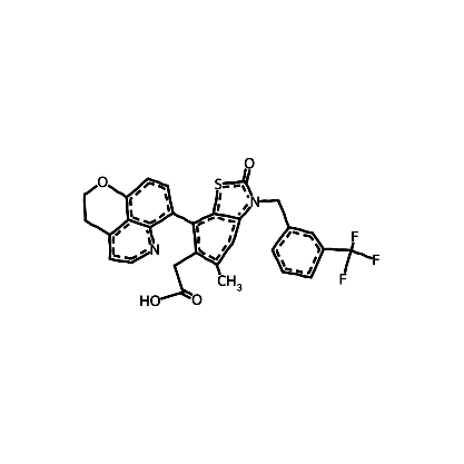 Cc1cc2c(sc(=O)n2Cc2cccc(C(F)(F)F)c2)c(-c2ccc3c4c(ccnc24)CCO3)c1CC(=O)O